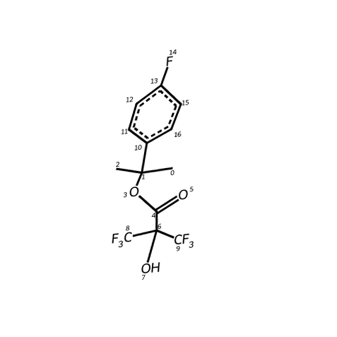 CC(C)(OC(=O)C(O)(C(F)(F)F)C(F)(F)F)c1ccc(F)cc1